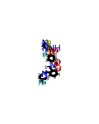 C[C@H](c1ccccc1CN1CCC(F)(F)C1)n1c(=O)oc2cc(S(=O)(=O)Nc3ncns3)c(F)cc21